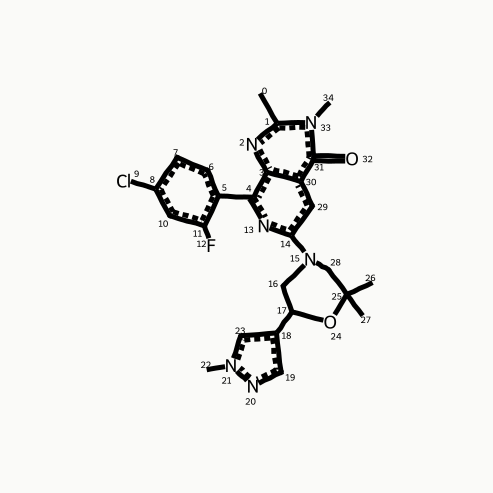 Cc1nc2c(-c3ccc(Cl)cc3F)nc(N3CC(c4cnn(C)c4)OC(C)(C)C3)cc2c(=O)n1C